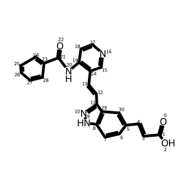 O=C(O)/C=C/c1ccc2[nH]nc(/C=C/c3cnccc3NC(=O)c3ccccc3)c2c1